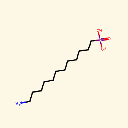 NCCCCCCCCCCCCP(=O)(O)O